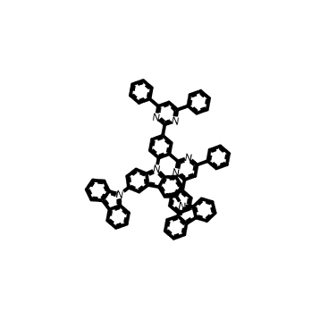 c1ccc(-c2cc(-c3ccccc3)nc(-c3ccc(-n4c5ccc(-n6c7ccccc7c7ccccc76)cc5c5cc(-n6c7ccccc7c7ccccc76)ccc54)c(-c4nc(-c5ccccc5)cc(-c5ccccc5)n4)c3)n2)cc1